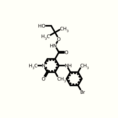 Cc1cc(Br)ccc1Nc1c(C(=O)NOC(C)(C)CO)cn(C)c(=O)c1C